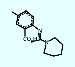 CC(=Nc1ccc(C)cc1C(=O)O)N1CCCCC1